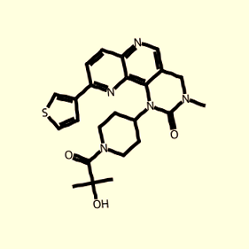 CN1Cc2cnc3ccc(-c4ccsc4)nc3c2N(C2CCN(C(=O)C(C)(C)O)CC2)C1=O